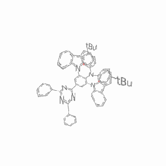 CC(C)(C)c1ccc(N(c2ccc(C(C)(C)C)cc2)c2c(-n3c4ccccc4c4ccccc43)cc(-c3nc(-c4ccccc4)nc(-c4ccccc4)n3)cc2-n2c3ccccc3c3ccccc32)cc1